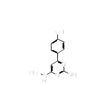 CNc1cc(-c2ccc(O)cc2)nc(N)n1